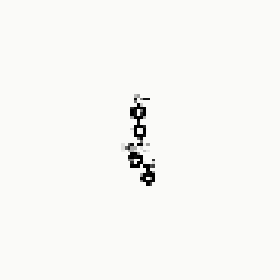 O=C(Nc1cccc(C(=O)c2ccccc2)c1)c1ccc(-c2ccc(O)cc2)cc1